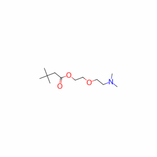 CN(C)CCOCCOC(=O)CC(C)(C)C